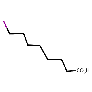 O=C(O)CCCCCCCI